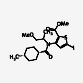 COCC(C)N(c1cc(I)sc1C(=O)OC)C(=O)[C@H]1CC[C@H](C)CC1